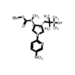 CN(C(=O)OC(C)(C)C)[C@@H]1CN(c2ccc([N+](=O)[O-])cn2)C[C@H]1CC(C)(C)[Si](C)(C)O